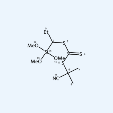 CCC(SC(=S)SC(C)(C)C#N)[Si](OC)(OC)OC